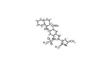 COc1cc(N=Nc2sc(C)n[n+]2C)c(NS(C)(=O)=O)cc1Nc1cccc2ccccc12